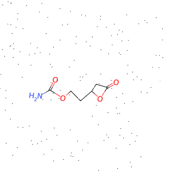 NC(=O)OCCC1CC(=O)O1